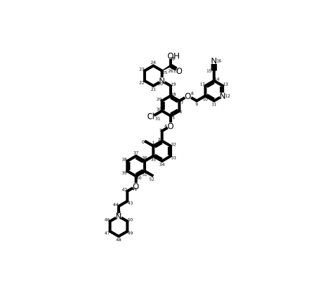 Cc1c(COc2cc(OCc3cncc(C#N)c3)c(CN3CCCC[C@H]3C(=O)O)cc2Cl)cccc1-c1cccc(OCCCN2CCCCC2)c1C